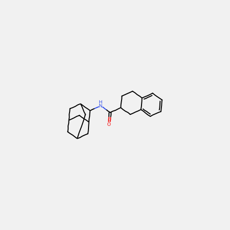 O=C(NC1C2CC3CC(C2)CC1C3)C1CCc2ccccc2C1